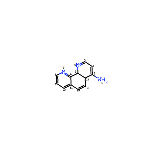 NC1=CC=NC2c3ncccc3C=CC12